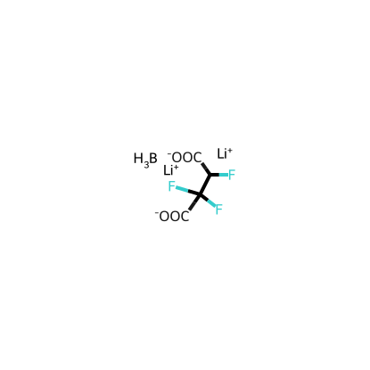 B.O=C([O-])C(F)C(F)(F)C(=O)[O-].[Li+].[Li+]